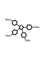 COc1ccc(-c2sc(-c3ccc(OC)cc3)c(-c3ccc(OC)cc3)c2-c2ccc(OC)cc2)cc1